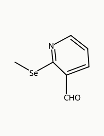 C[Se]c1ncccc1C=O